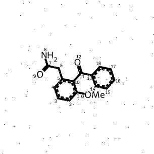 COc1cccc(CC(N)=O)c1C(=O)c1ccccc1